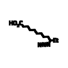 CCC(CCCCCCCCC(=O)O)N=[N+]=[N-]